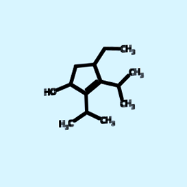 CCC1CC(O)C(C(C)C)=C1C(C)C